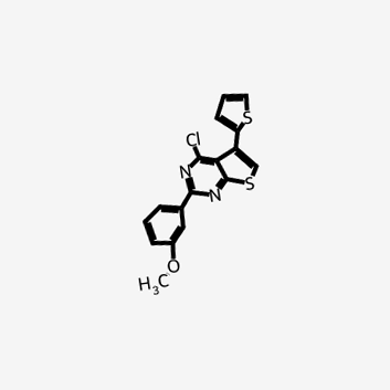 COc1cccc(-c2nc(Cl)c3c(-c4cccs4)csc3n2)c1